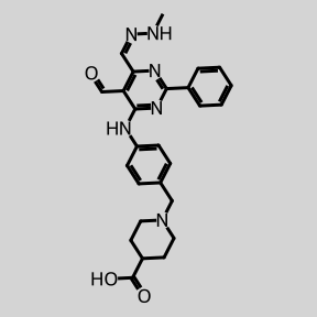 CN/N=C\c1nc(-c2ccccc2)nc(Nc2ccc(CN3CCC(C(=O)O)CC3)cc2)c1C=O